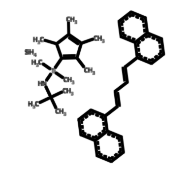 C(C=Cc1cccc2ccccc12)=Cc1cccc2ccccc12.CC1=C(C)C(C)[C]([Ti]([CH3])([CH3])[NH]C(C)(C)C)=C1C.[SiH4]